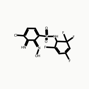 N=C1C(Cl)=CC=C(S(=O)(=O)NC2C(F)=CC(F)=CC2(F)F)/C1=N/O